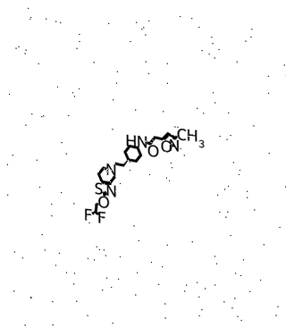 Cc1cc(CC(=O)N[C@H]2CC[C@H](CCN3CCc4sc(OCC(F)F)nc4C3)CC2)on1